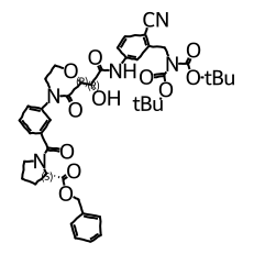 CC(C)(C)OC(=O)N(Cc1cc(NC(=O)[C@H](O)[C@H]2OCCN(c3cccc(C(=O)N4CCC[C@H]4C(=O)OCc4ccccc4)c3)C2=O)ccc1C#N)C(=O)OC(C)(C)C